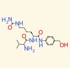 CC(C)[C@H](N)C(=O)N[C@@H](CCCCNC(N)=O)C(=O)Nc1ccc(CO)cc1